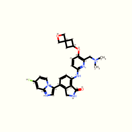 CN(C)Cc1nc(Nc2ccc(-c3cnc4cc(F)ccn34)c3c2C(=O)NC3)ccc1OC1CC2(COC2)C1